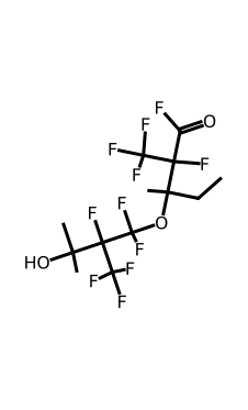 CCC(C)(OC(F)(F)C(F)(C(C)(C)O)C(F)(F)F)C(F)(C(=O)F)C(F)(F)F